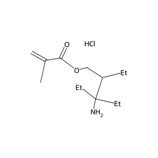 C=C(C)C(=O)OCC(CC)C(N)(CC)CC.Cl